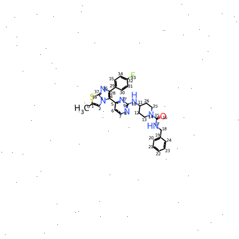 Cc1cn2c(-c3ccnc(NC4CCN(C(=O)NCc5ccccc5)CC4)n3)c(-c3ccc(F)cc3)nc2s1